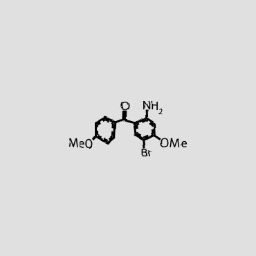 COc1ccc(C(=O)c2cc(Br)c(OC)cc2N)cc1